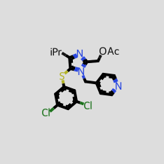 CC(=O)OCc1nc(C(C)C)c(Sc2cc(Cl)cc(Cl)c2)n1Cc1ccncc1